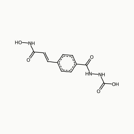 O=C(O)NNC(=O)c1ccc(/C=C/C(=O)NO)cc1